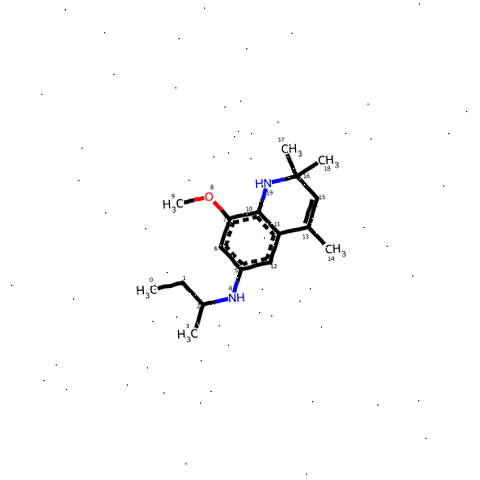 CCC(C)Nc1cc(OC)c2c(c1)C(C)=CC(C)(C)N2